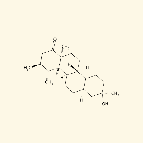 C[C@H]1[C@H]2[C@@H]3CC[C@@H]4C[C@](C)(O)CC[C@@H]4[C@H]3CC[C@]2(C)C(=O)C[C@@H]1C